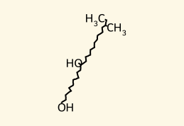 CCC(C)CCCCCCCCCCC(O)CCCCCCCCCCO